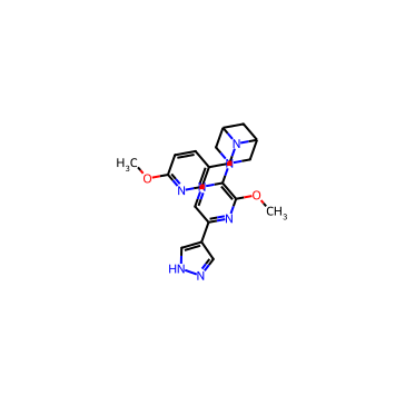 COc1ccc(CN2C3CC2CN(c2ncc(-c4cn[nH]c4)nc2OC)C3)cn1